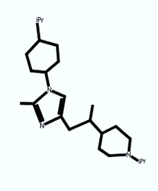 Cc1nc(CC(C)C2CCN(C(C)C)CC2)cn1C1CCC(C(C)C)CC1